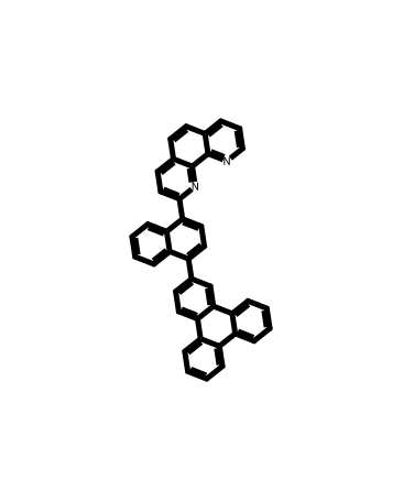 c1cnc2c(c1)ccc1ccc(-c3ccc(-c4ccc5c6ccccc6c6ccccc6c5c4)c4ccccc34)nc12